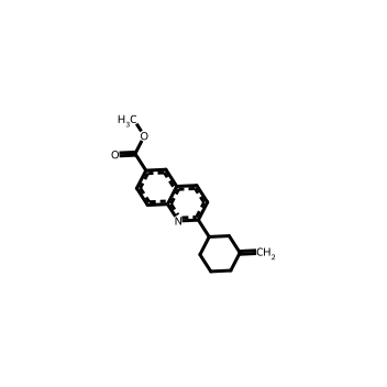 C=C1CCCC(c2ccc3cc(C(=O)OC)ccc3n2)C1